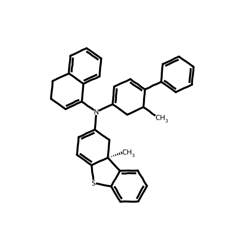 CC1CC(N(C2=CC=C3Sc4ccccc4[C@]3(C)C2)C2=CCCc3ccccc32)=CC=C1c1ccccc1